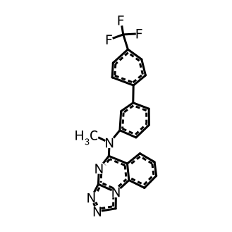 CN(c1cccc(-c2ccc(C(F)(F)F)cc2)c1)c1nc2nncn2c2ccccc12